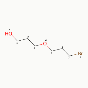 OCCCOCCCBr